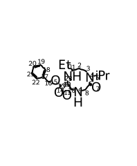 CCC1CCN(C(C)C)C(=O)CNC(=O)[C@H](C(=O)OCc2ccccc2)N1